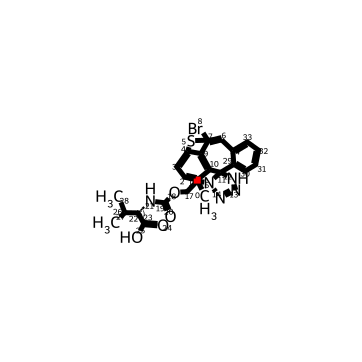 Cc1ccc2sc3c(Br)c2c1C1(NN=NN1CCOC(=O)N[C@H](C(=O)O)C(C)C)c1ccccc1-3